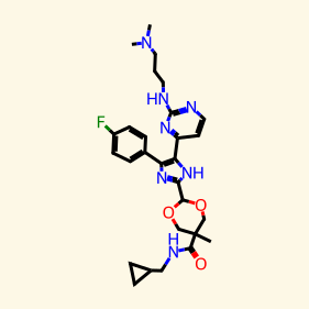 CN(C)CCCNc1nccc(-c2[nH]c(C3OCC(C)(C(=O)NCC4CC4)CO3)nc2-c2ccc(F)cc2)n1